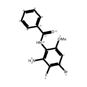 COc1cc(Br)c(F)c(N)c1NC(=O)c1ccccc1